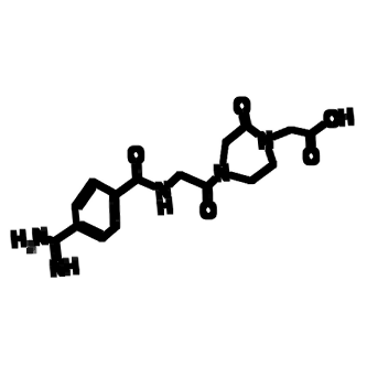 N=C(N)c1ccc(C(=O)NCC(=O)N2CCN(CC(=O)O)C(=O)C2)cc1